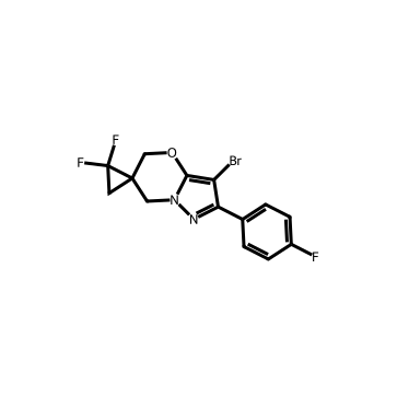 Fc1ccc(-c2nn3c(c2Br)OCC2(C3)CC2(F)F)cc1